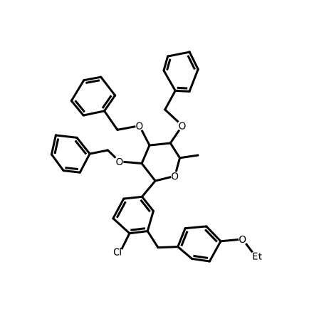 CCOc1ccc(Cc2cc(C3OC(C)C(OCc4ccccc4)C(OCc4ccccc4)C3OCc3ccccc3)ccc2Cl)cc1